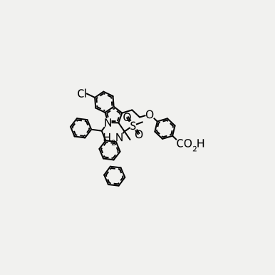 CC(N)(c1c(CCOc2ccc(C(=O)O)cc2)c2ccc(Cl)cc2n1C(c1ccccc1)c1ccccc1)S(C)(=O)=O.c1ccccc1